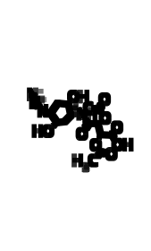 CC(=O)O[C@@H](C(=O)O)[C@@H](OC(C)=O)C(=O)N[C@@H]1C[C@@H](O)[C@H](N=[N+]=[N-])C[C@H]1O